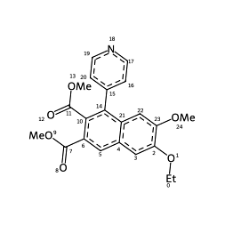 CCOc1cc2cc(C(=O)OC)c(C(=O)OC)c(-c3ccncc3)c2cc1OC